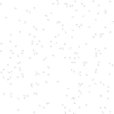 c1ccc2c(c1)cc1cccc3c4ccc5ccc6cccc7cc(c2c13)c4c5c67